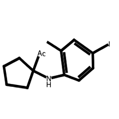 CC(=O)C1(Nc2ccc(I)cc2C)CCCC1